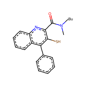 CCC(C)N(C)C(=O)c1nc2ccccc2c(-c2ccccc2)c1S